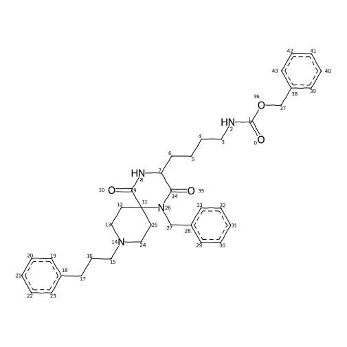 O=C(NCCCCC1NC(=O)C2(CCN(CCCc3ccccc3)CC2)N(Cc2ccccc2)C1=O)OCc1ccccc1